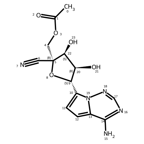 CC(=O)OC[C@@]1(C#N)O[C@@H](c2ccc3c(N)ncnn23)[C@H](O)[C@@H]1O